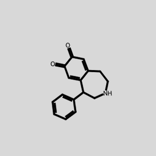 O=C1C=C2CCNCC(c3ccccc3)C2=CC1=O